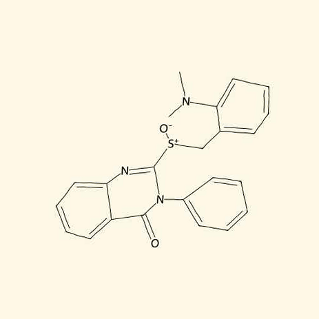 CN(C)c1ccccc1C[S+]([O-])c1nc2ccccc2c(=O)n1-c1ccccc1